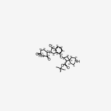 CC(C)(C)OC(=O)C1C(Oc2cccc3c2CN(C2CCC(=O)NC2=O)C3=O)CC12CCNCC2